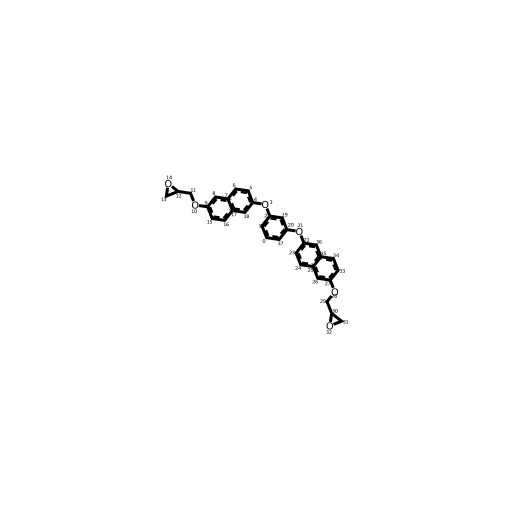 c1cc(Oc2ccc3cc(OCC4CO4)ccc3c2)cc(Oc2ccc3cc(OCC4CO4)ccc3c2)c1